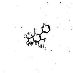 COC(=O)C1(Br)NC(c2cccnc2)=C(F)C(N)=C1Cl